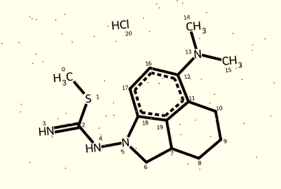 CSC(=N)NN1CC2CCCc3c(N(C)C)ccc1c32.Cl